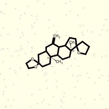 C=C1CC2CC3(CC[C@]2(C)C2CC[C@@]4(C)C(CCC45CCCO5)C12)OCCO3